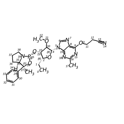 CC[C@H]1O[C@@H](n2cnc3c(OCCC#N)nc(C)nc32)C(OC)[C@H]1O[P@]1O[C@@](C)(c2ccccc2)[C@H]2CCCN21